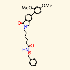 COc1ccc(-c2ccc3c(c2)CN(CCCCCC(=O)NOCc2ccccc2)C3=O)c(OC)c1